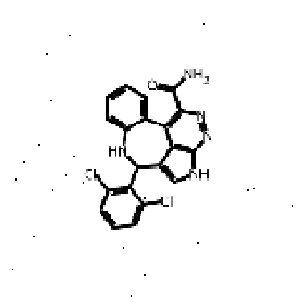 NC(=O)c1nnc2[nH]cc3c2c1-c1ccccc1NC3c1c(Cl)cccc1Cl